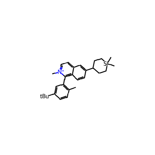 Cc1ccc(C(C)(C)C)cc1-c1c2ccc(C3CC[Si](C)(C)CC3)cc2cc[n+]1C